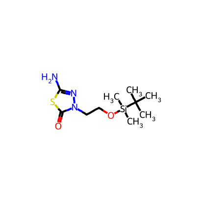 CC(C)(C)[Si](C)(C)OCCn1nc(N)sc1=O